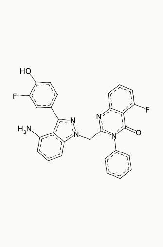 Nc1cccc2c1c(-c1ccc(O)c(F)c1)nn2Cc1nc2cccc(F)c2c(=O)n1-c1ccccc1